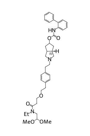 CCN(CC(OC)OC)C(=O)CCOCCc1ccc(CCN2CC3CC(OC(=O)Nc4ccccc4-c4ccccc4)C[C@@H]3C2)cc1